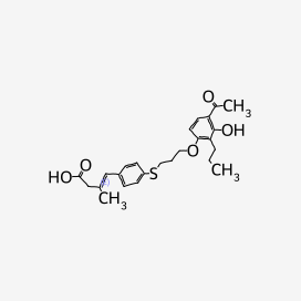 CCCc1c(OCCCSc2ccc(/C=C(\C)CC(=O)O)cc2)ccc(C(C)=O)c1O